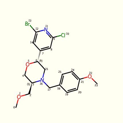 COC[C@H]1CO[C@H](c2cc(Cl)nc(Br)c2)CN1Cc1ccc(OC)cc1